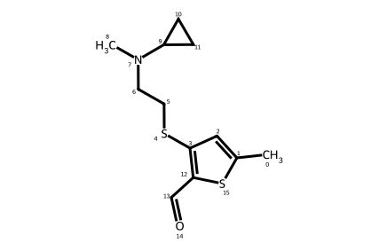 Cc1cc(SCCN(C)C2CC2)c(C=O)s1